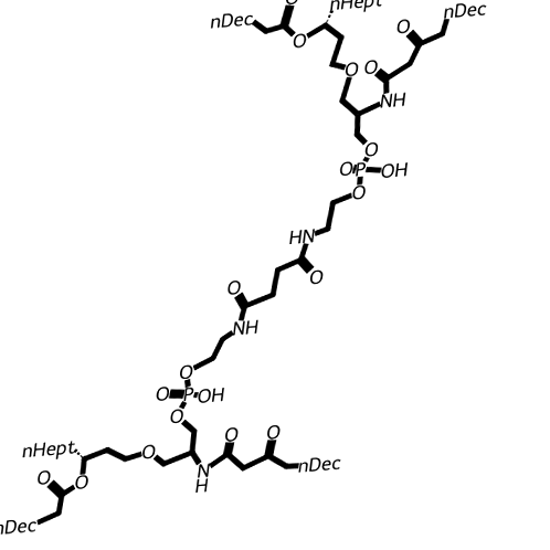 CCCCCCCCCCCC(=O)CC(=O)NC(COCC[C@@H](CCCCCCC)OC(=O)CCCCCCCCCCC)COP(=O)(O)OCCNC(=O)CCC(=O)NCCOP(=O)(O)OCC(COCC[C@@H](CCCCCCC)OC(=O)CCCCCCCCCCC)NC(=O)CC(=O)CCCCCCCCCCC